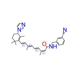 CC1=C(/C=C/C(C)=C/C=C/C(C)=C\C(=O)NCc2cccc(C#N)c2)C(C)(C)CCC1n1ccnc1